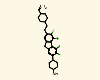 C=CC1CCC(CCc2cc3c(c(F)c2F)-c2c(cc(C4CCC(CCC)CC4)c(F)c2F)C3)CC1